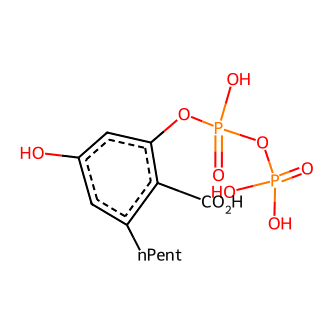 CCCCCc1cc(O)cc(OP(=O)(O)OP(=O)(O)O)c1C(=O)O